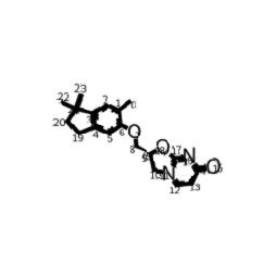 Cc1cc2c(cc1OC[C@@H]1Cn3ccc(=O)nc3O1)CCC2(C)C